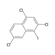 Clc1ccc2c(Cl)cc(Cl)c(I)c2c1